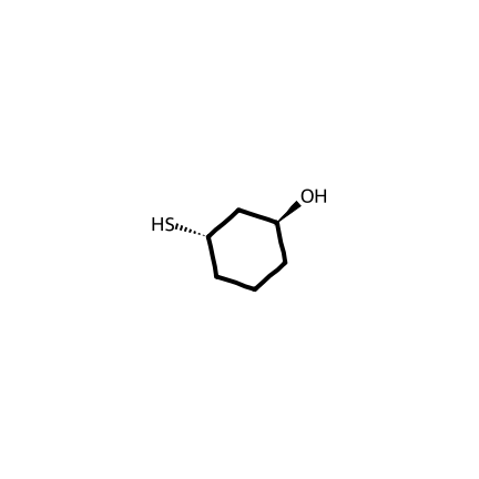 O[C@H]1CCC[C@H](S)C1